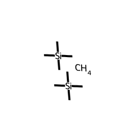 C.C[Si](C)(C)C.C[Si](C)(C)C